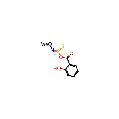 CO/N=P(=S)/OC(=O)c1ccccc1O